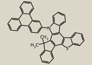 CC1(C)c2ccccc2-c2c1c1c(c3ccccc3n1-c1ccc3c4ccccc4c4ccccc4c3c1)c1c2sc2ccccc21